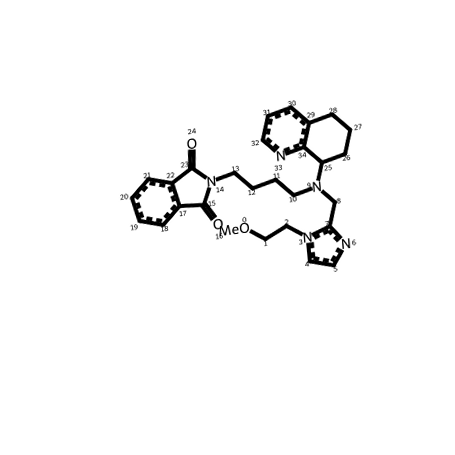 COCCn1ccnc1CN(CCCCN1C(=O)c2ccccc2C1=O)C1CCCc2cccnc21